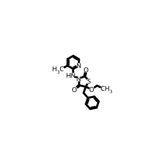 CCOC1(Cc2ccccc2)SC(=O)N(Nc2ncccc2C)C1=O